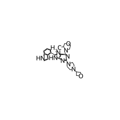 CC1COCCN1c1nc(N2CCN(C3COC3)CC2)nc2[nH]c(-c3cccc4[nH]ccc34)nc12